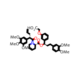 C=CC[C@H](C(=O)N1CC=CC[C@H]1C(=O)O[C@H](CCc1ccc(OC)c(OC)c1)c1cccc(OCC(=O)O)c1)c1cc(OC)c(OC)c(OC)c1